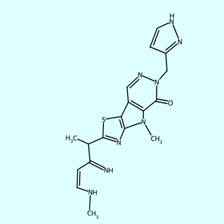 CN/C=C\C(=N)C(C)c1nc2c(s1)c1cnn(Cc3cc[nH]n3)c(=O)c1n2C